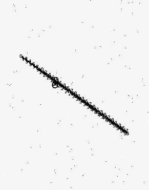 CCCCCCCC/C=C/CCCCCCCCOC(=O)CCCCCCCCCCCCCCCCCCCCCCCCCCCCCCCCCCCCCC